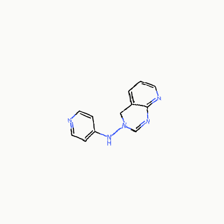 C1=Nc2ncccc2CN1Nc1ccncc1